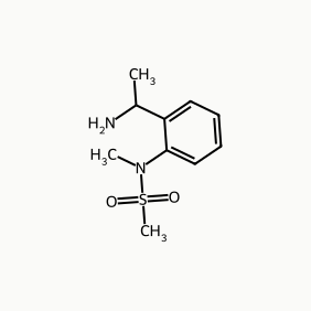 CC(N)c1ccccc1N(C)S(C)(=O)=O